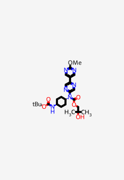 COc1ncc(-c2cnc(N(C(=O)OCC(C)(C)O)[C@H]3CC[C@H](NC(=O)OC(C)(C)C)CC3)cn2)cn1